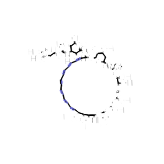 COC12CC(O)CC(O)C(O)CCC(O)CC(O)CC(=O)OC(C)C(C)C(O)C(C)/C=C/C=C/C=C/C=C/C=C/C=C/C=C/C(OC3OC(C)C(O)C(NC(=O)OCC[Si](C)(C)C)C3O)CC(O1)C(C(=O)O)C(O)C2